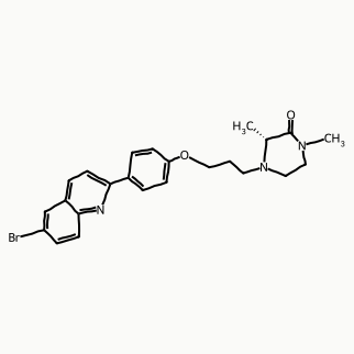 C[C@@H]1C(=O)N(C)CCN1CCCOc1ccc(-c2ccc3cc(Br)ccc3n2)cc1